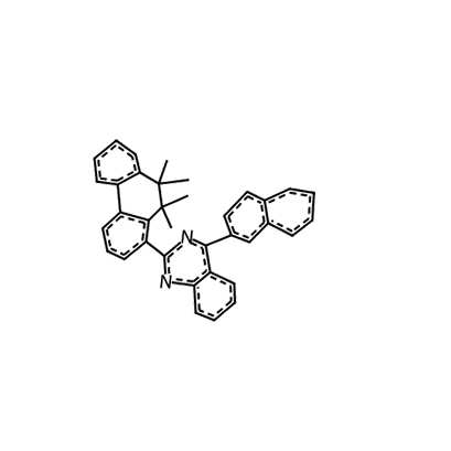 CC1(C)c2ccccc2-c2cccc(-c3nc(-c4ccc5ccccc5c4)c4ccccc4n3)c2C1(C)C